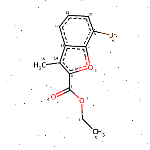 CCOC(=O)c1oc2c(Br)cccc2c1C